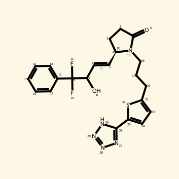 O=C1CC[C@H](/C=C/C(O)C(F)(F)c2ccccc2)N1CCCc1ccc(-c2nnn[nH]2)s1